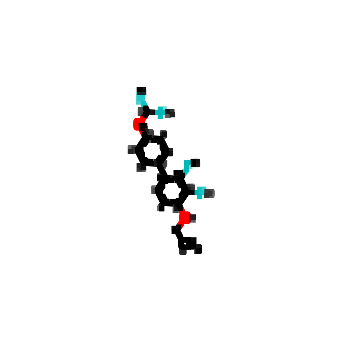 CCOc1ccc(-c2ccc(OC(F)F)cc2)c(F)c1F